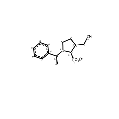 CCOC(=O)[C@@H]1[C@H](CC#N)CCN1[C@@H](C)c1ccccc1